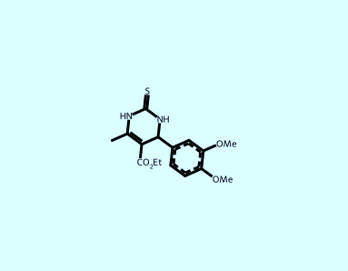 CCOC(=O)C1=C(C)NC(=S)NC1c1ccc(OC)c(OC)c1